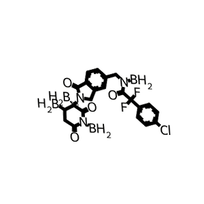 BC1CC(=O)N(B)C(=O)[C@]1(B)N1Cc2cc(CN(B)C(=O)C(F)(F)c3ccc(Cl)cc3)ccc2C1=O